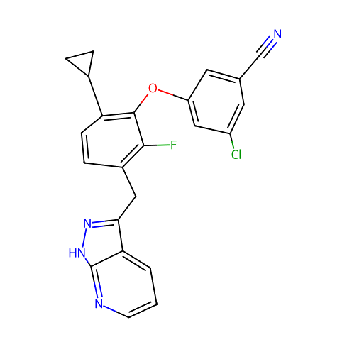 N#Cc1cc(Cl)cc(Oc2c(C3CC3)ccc(Cc3n[nH]c4ncccc34)c2F)c1